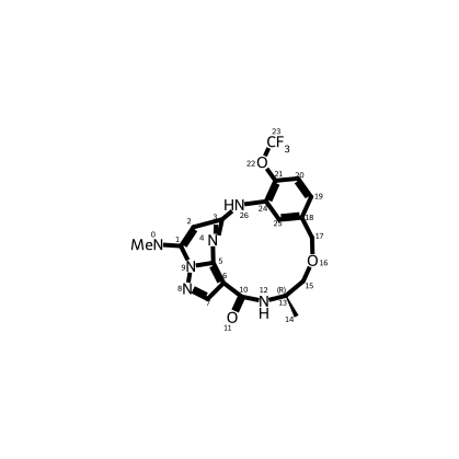 CNc1cc2nc3c(cnn13)C(=O)N[C@H](C)COCc1ccc(OC(F)(F)F)c(c1)N2